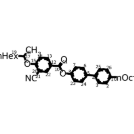 CCCCCCCCc1ccc(-c2ccc(OC(=O)c3ccc(OC(C)CCCCCC)c(C#N)c3)cc2)cc1